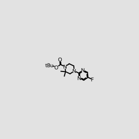 CC(C)(C)OC(=O)N1CCN(c2ncc(F)cn2)CC1(C)C